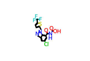 O=C(O)NC(=O)c1cc(Cl)cc2cnn(Cc3ccc(C(F)(F)F)s3)c12